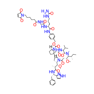 CC[C@H](C)[C@@H]([C@@H](CC(=O)N1CCC[C@H]1[C@H](OC)[C@@H](C)C(=O)N[C@@H](Cc1ccccc1)c1cc[nH]n1)OC)N(C)C(=O)[C@@H](NC(=O)[C@@H]1[C@H]2CC[C@H](C2)N1C(=O)OCc1ccc(NC(=O)[C@H](CCCNC(N)=O)NC(=O)CNC(=O)CCCCCN2C(=O)C=CC2=O)cc1)C(C)C